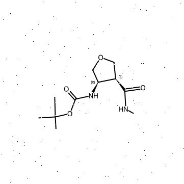 CNC(=O)[C@@H]1COC[C@@H]1NC(=O)OC(C)(C)C